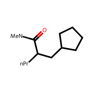 CCCC(CC1CCCC1)C(=O)NC